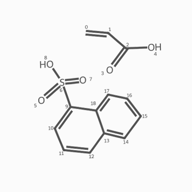 C=CC(=O)O.O=S(=O)(O)c1cccc2ccccc12